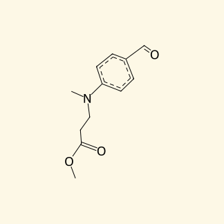 COC(=O)CCN(C)c1ccc(C=O)cc1